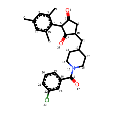 Cc1cc(C)c(C2C(=O)CC(CC3CCN(C(=O)c4cccc(Cl)c4)CC3)C2=O)c(C)c1